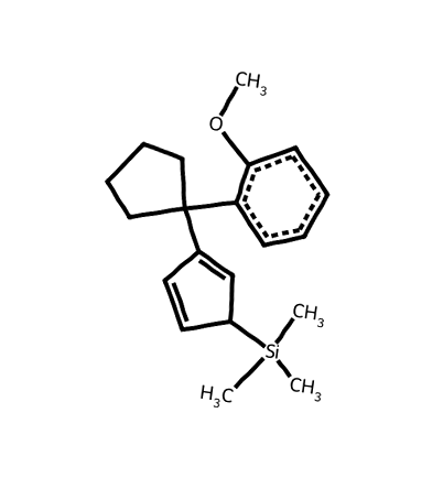 COc1ccccc1C1(C2=CC([Si](C)(C)C)C=C2)CCCC1